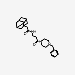 O=C(CC12CC3CC(CC(C3)C1)C2)NCCC(=O)N1CCN(Cc2ccccc2)CC1